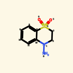 NN1CCS(=O)(=O)c2ccccc21